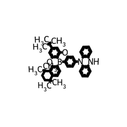 CC(C)(C)c1cc2c3c(c1)Oc1c(ccc4c1C(C)(C)CCC4(C)C)B3c1ccc(N3c4ccccc4Nc4ccccc43)cc1O2